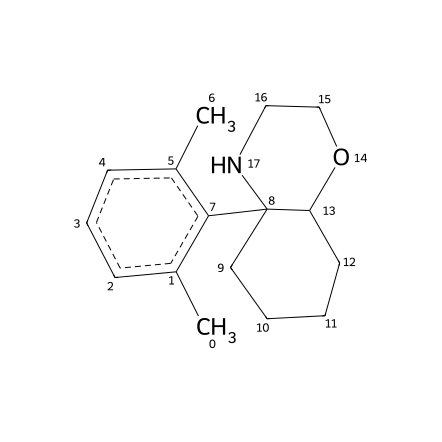 Cc1cccc(C)c1C12CCCCC1OCCN2